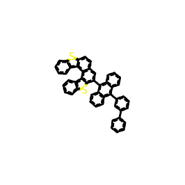 c1ccc(-c2cccc(-c3c4ccccc4c(-c4cc5ccc6sc7ccccc7c6c5c5c4sc4ccccc45)c4ccccc34)c2)cc1